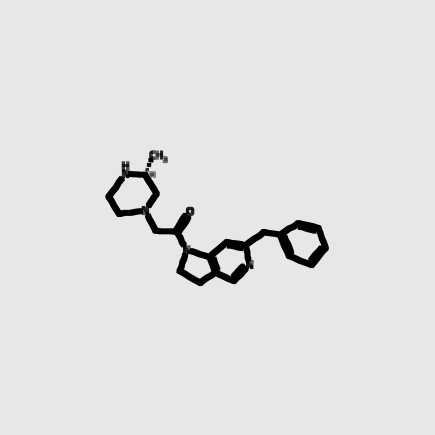 C[C@@H]1CN(CC(=O)N2CCc3cnc(Cc4ccccc4)cc32)CCN1